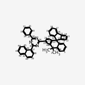 CC1(C)c2ccccc2C2(c3ccccc3-c3ccccc32)c2ccc(-c3nc(-c4ccccc4)nc(-c4cccc5ccccc45)n3)cc21